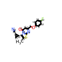 Cc1sc2nc(COc3ccc(F)cc3)cc(=O)n2c1[C@@H]1C[C@H]1C#N